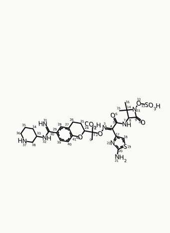 CC(ON=C(C(=O)NC1C(=O)N(OS(=O)(=O)O)C1(C)C)c1csc(N)n1)(C(=O)O)C1CCc2cc(C(=N)NC3CCCNC3)ccc2O1